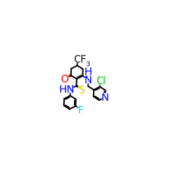 O=C1CC(C(F)(F)F)CC(NCc2ccncc2Cl)=C1C(=S)Nc1cccc(F)c1